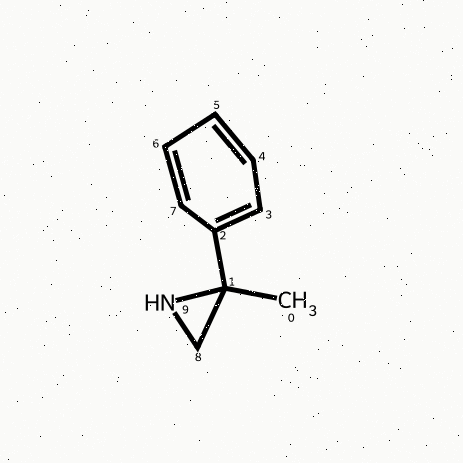 CC1(c2ccccc2)CN1